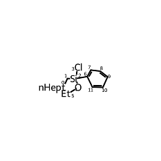 CCCCCCCC[Si](Cl)(OCC)c1ccccc1